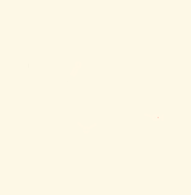 CCC(=O)c1coc2cc(O)ccc12